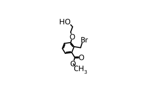 COC(=O)c1cccc(OCCO)c1CBr